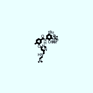 COc1c(NC(=O)c2ccc(C)c(Oc3cc(CNCCN(C)C)ncn3)c2)cc(C(C)(C)C)cc1NS(C)(=O)=O